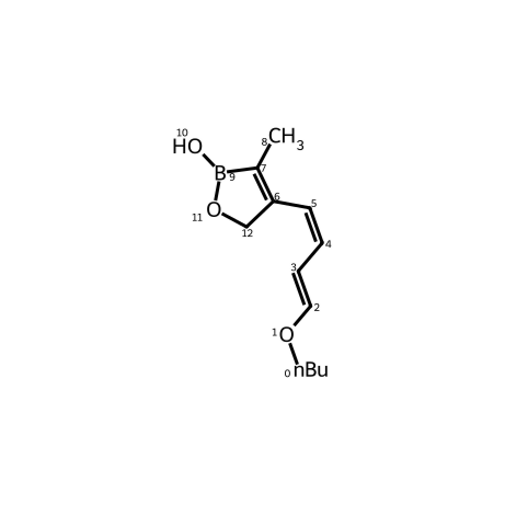 CCCCO/C=C/C=C\C1=C(C)B(O)OC1